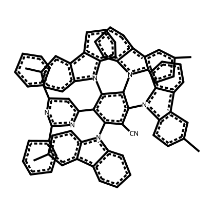 Cc1ccc2c(c1)c1ccccc1n2-c1c(C#N)c(-n2c3ccccc3c3cc(C)ccc32)c(-n2c3ccccc3c3cc(C)ccc32)c(-n2c3ccccc3c3cc(C)ccc32)c1-c1cc(-c2ccccc2)nc(-c2ccccc2)n1